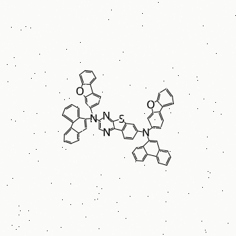 c1ccc2c(c1)cc(N(c1ccc3c(c1)oc1ccccc13)c1ccc3c(c1)sc1nc(N(c4ccc5c(c4)oc4ccccc45)c4cc5ccccc5c5ccccc45)cnc13)c1ccccc12